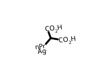 CCCC(C(=O)O)C(=O)O.[Ag]